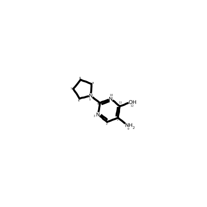 Nc1cnc(N2CCCC2)nc1O